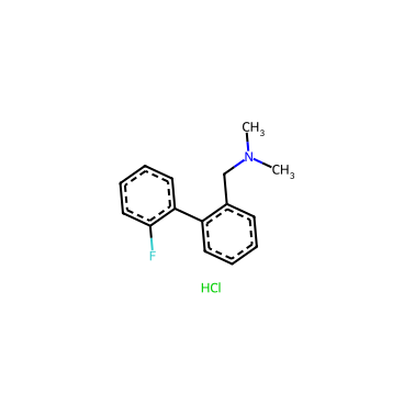 CN(C)Cc1ccccc1-c1ccccc1F.Cl